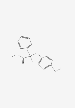 COC(=O)C(C)(Oc1ccc(CBr)cc1)c1ccccc1